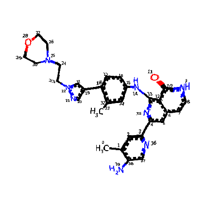 Cc1cc(-c2cc3cc[nH]c(=O)c3c(Nc3ccc(-c4cnn(CCN5CCOCC5)c4)c(C)c3)n2)ncc1N